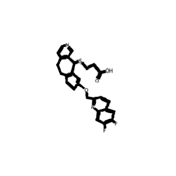 O=C(O)CCSC1c2cnccc2CCc2ccc(OCc3ccc4cc(F)c(F)cc4n3)cc21